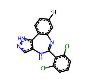 [2H]c1ccc2c(c1)N=C(c1c(Cl)cccc1Cl)Nc1cn[nH]c1-2